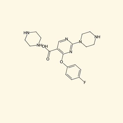 C1CNCCN1.O=C(O)c1cnc(N2CCNCC2)nc1Oc1ccc(F)cc1